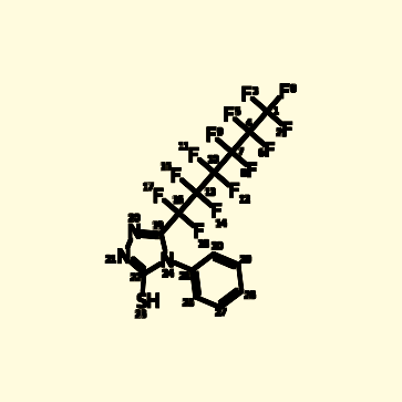 FC(F)(F)C(F)(F)C(F)(F)C(F)(F)C(F)(F)C(F)(F)c1nnc(S)n1-c1ccccc1